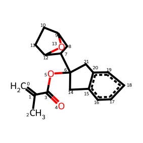 C=C(C)C(=O)OC1(C2CC3CCC2O3)Cc2ccccc2C1